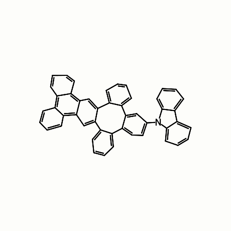 c1ccc2c(c1)-c1ccc(-n3c4ccccc4c4ccccc43)cc1-c1ccccc1-c1cc3c4ccccc4c4ccccc4c3cc1-2